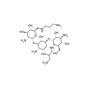 NCCCNC[C@H]1O[C@H](OC2[C@@H](N)C[C@@H](NCC(O)CN)[C@H](O[C@H]3O[C@H](CO)[C@@H](O)[C@H](N)[C@H]3O)[C@H]2O)[C@H](N)[C@@H](O)[C@@H]1O